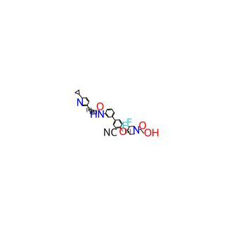 N#Cc1cc(-c2cccc(NC(=O)[C@@H]3C[C@H]3c3ccc(C4CC4)nc3)c2)ccc1O[C@H]1CCN(C(=O)CO)CC1(F)F